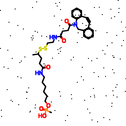 CC(CCC(=O)NCCCCCCOP(C)(=O)O)SSCCNC(=O)CCC(=O)N1Cc2ccccc2C#Cc2ccccc21